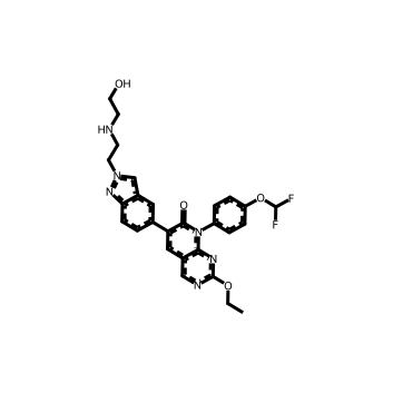 CCOc1ncc2cc(-c3ccc4nn(CCNCCO)cc4c3)c(=O)n(-c3ccc(OC(F)F)cc3)c2n1